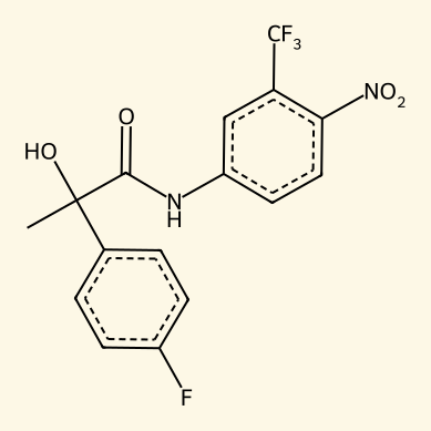 CC(O)(C(=O)Nc1ccc([N+](=O)[O-])c(C(F)(F)F)c1)c1ccc(F)cc1